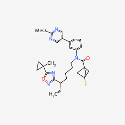 C=CC(CCCCN(C(=O)C12CC(F)(C1)C2)c1cccc(-c2cnc(OC)nc2)c1)c1noc(C2(C)CC2)n1